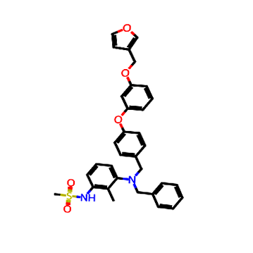 Cc1c(NS(C)(=O)=O)cccc1N(Cc1ccccc1)Cc1ccc(Oc2cccc(OCc3ccoc3)c2)cc1